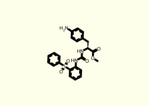 COC(=O)[C@H](Cc1ccc(N)cc1)NC(=O)Nc1ccccc1S(=O)(=O)c1ccccc1